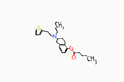 CCCCC(=O)Oc1cccc2c1CCC(N(CCC)CCc1cccs1)C2